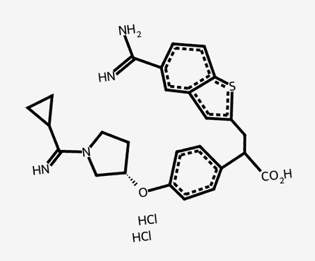 Cl.Cl.N=C(N)c1ccc2sc(CC(C(=O)O)c3ccc(O[C@H]4CCN(C(=N)C5CC5)C4)cc3)cc2c1